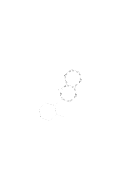 FC1CCCCN1c1ccc2ccccc2n1